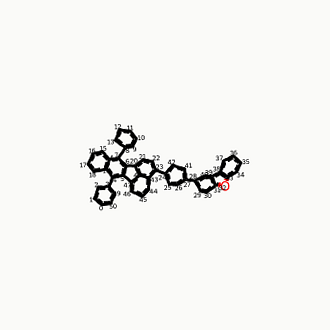 c1ccc(-c2c3c(c(-c4ccccc4)c4ccccc24)-c2ccc(-c4ccc(-c5ccc6oc7ccccc7c6c5)cc4)c4cccc-3c24)cc1